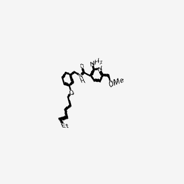 CC/C=C/CCCOc1cccc(CNC(=O)c2ccc(COC)nc2N)c1